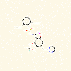 COc1cccc(OC)c1S(=O)(=O)Nc1noc2cc(Cn3cccn3)c3c(c12)OC(F)(F)O3